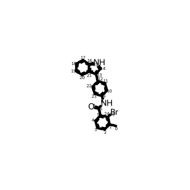 Cc1cccc(C(=O)Nc2ccc(-c3c[nH]c4ccccc34)cc2)c1Br